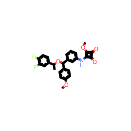 COc1ccc(C(OC(C)c2ccc(F)c(F)c2)c2cccc(Nc3c(OC)c(=O)c3=O)c2)cc1